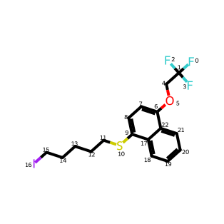 FC(F)(F)COc1ccc(SCCCCCI)c2ccccc12